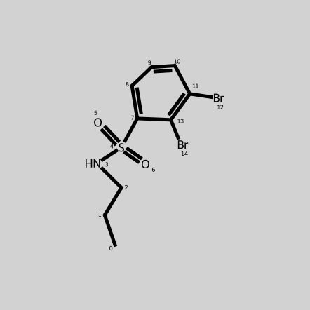 CCCNS(=O)(=O)c1cccc(Br)c1Br